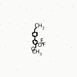 C=CCc1ccc(-c2ccc(COC)c(OC(F)F)c2)cc1